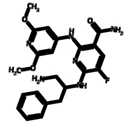 COc1cc(Nc2nc(NC(CN)Cc3ccccc3)c(F)cc2C(N)=O)cc(OC)n1